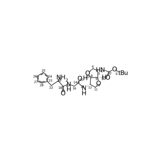 CC(C)(C)OC(=O)N[C@H]1CO[C@H]2[C@@H]1OC[C@@H]2NC(=O)CNC(=O)[C@@H](N)Cc1ccccc1